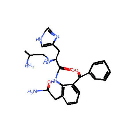 CC(N)CNC(Cc1c[nH]cn1)C(=O)Nc1c(CC(N)=O)cccc1C(=O)c1ccccc1